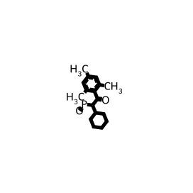 Cc1cc(C)c(C(=O)C(P=O)C2CCCCC2)c(C)c1